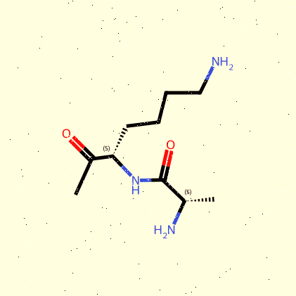 CC(=O)[C@H](CCCCN)NC(=O)[C@H](C)N